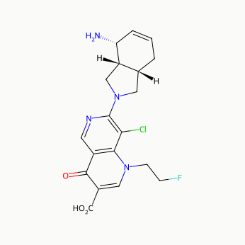 N[C@@H]1C=CC[C@@H]2CN(c3ncc4c(=O)c(C(=O)O)cn(CCF)c4c3Cl)C[C@@H]21